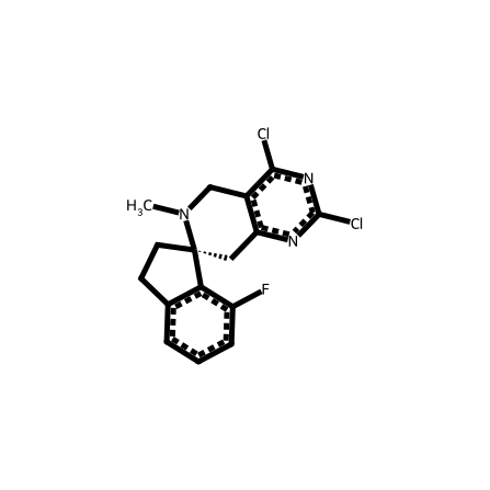 CN1Cc2c(Cl)nc(Cl)nc2C[C@]12CCc1cccc(F)c12